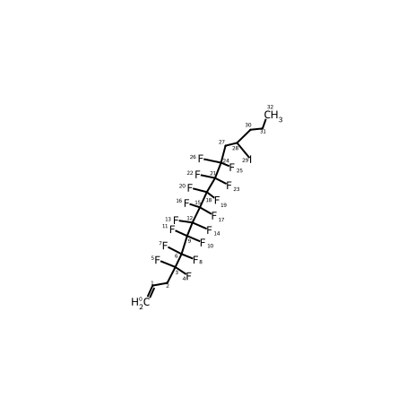 C=CCC(F)(F)C(F)(F)C(F)(F)C(F)(F)C(F)(F)C(F)(F)C(F)(F)C(F)(F)CC(I)CCC